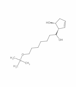 C[Si](C)(C)OCCCCCCC(O)[C@@H]1C=CC[C@@H]1O